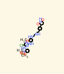 COc1cc(NCCNCCc2ccc(C3CCC(=O)NC3=O)cc2)ccc1Nc1ncc(Cl)c(Nc2ccccc2N(C)S(C)(=O)=O)n1